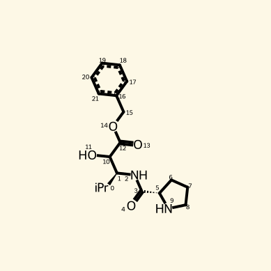 CC(C)[C@H](NC(=O)[C@@H]1CCCN1)C(O)C(=O)OCc1ccccc1